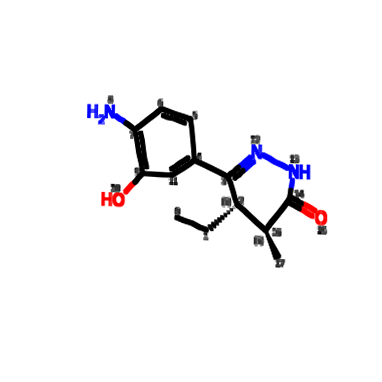 CC[C@@H]1C(c2ccc(N)c(O)c2)=NNC(=O)[C@H]1C